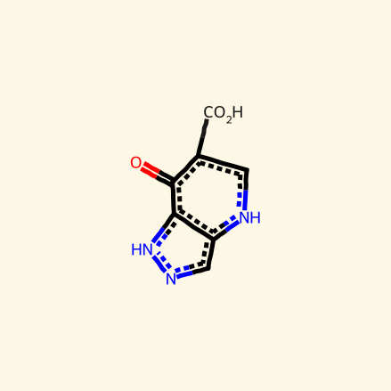 O=C(O)c1c[nH]c2cn[nH]c2c1=O